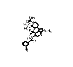 Cn1cc(C2CCN(C(=O)O)C(C)(C)C2)c2c(C(F)(F)F)c(NC(=O)c3cccc(C#N)c3)cnc21